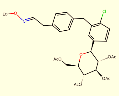 CCON=CCc1ccc(Cc2cc([C@@H]3O[C@H](COC(C)=O)[C@@H](OC(C)=O)[C@H](OC(C)=O)[C@H]3OC(C)=O)ccc2Cl)cc1